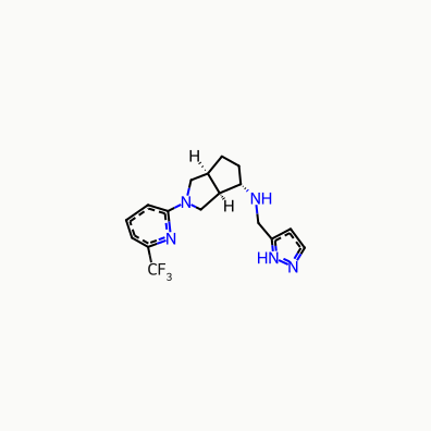 FC(F)(F)c1cccc(N2C[C@H]3CC[C@H](NCc4ccn[nH]4)[C@H]3C2)n1